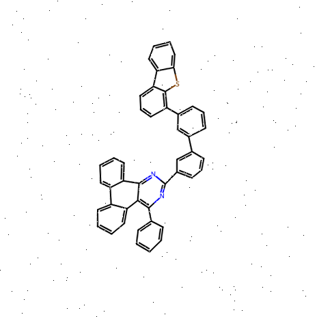 c1ccc(-c2nc(-c3cccc(-c4cccc(-c5cccc6c5sc5ccccc56)c4)c3)nc3c4ccccc4c4ccccc4c23)cc1